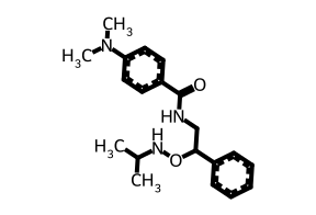 CC(C)NOC(CNC(=O)c1ccc(N(C)C)cc1)c1ccccc1